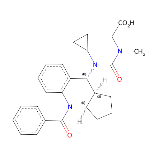 CN(CC(=O)O)C(=O)N(C1CC1)[C@H]1c2ccccc2N(C(=O)c2ccccc2)[C@@H]2CCC[C@@H]21